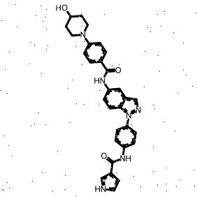 O=C(Nc1ccc2c(cnn2-c2ccc(NC(=O)c3cc[nH]c3)cc2)c1)c1ccc(N2CCC(O)CC2)cc1